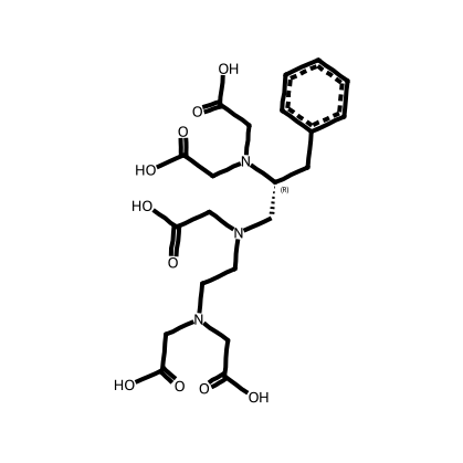 O=C(O)CN(CCN(CC(=O)O)C[C@@H](Cc1ccccc1)N(CC(=O)O)CC(=O)O)CC(=O)O